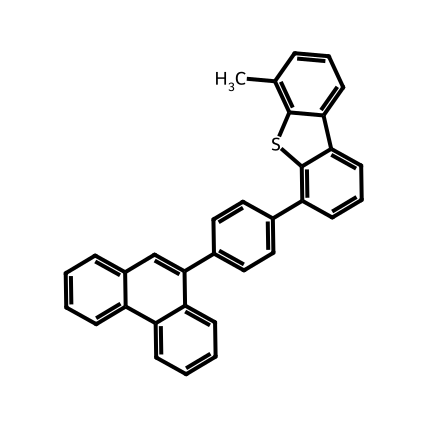 Cc1cccc2c1sc1c(-c3ccc(-c4cc5ccccc5c5ccccc45)cc3)cccc12